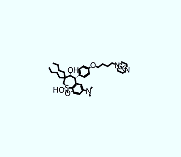 CCCCC1(CCCC)CS([O-])(O)c2ccc(N(C)C)cc2[C@@H](c2ccc(OCCCC[N+]34CCN(CC3)CC4)cc2)[C@H]1O